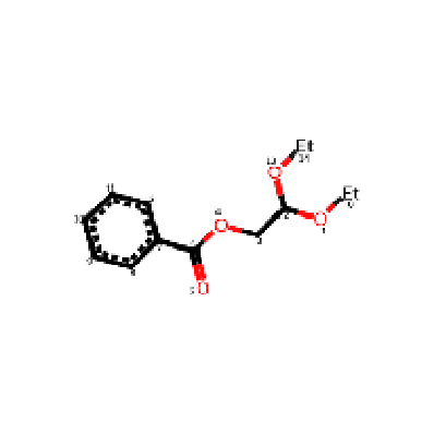 CCOC(COC(=O)c1c[c]ccc1)OCC